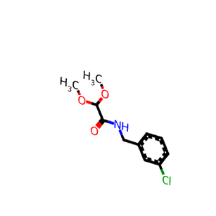 COC(OC)C(=O)NCc1cccc(Cl)c1